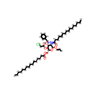 CC=CO[C@H]1O[C@H](COC(=O)CCCCCCCCCCCCCCC)[C@@H](OC(=O)CCl)[C@H](OCc2ccccc2)[C@@H]1NC(=O)CCCCCCCCCCCCCCC